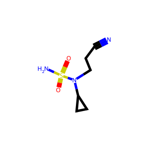 N#CCCN(C1CC1)S(N)(=O)=O